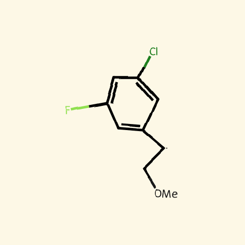 COC[CH]c1cc(F)cc(Cl)c1